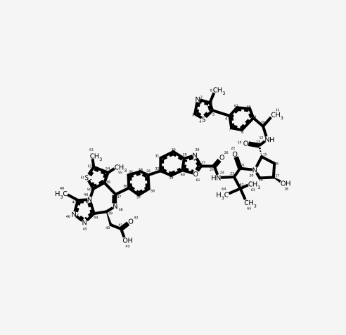 Cc1ncsc1-c1ccc(C(C)NC(=O)[C@@H]2C[C@@H](O)CN2C(=O)C(NC(=O)c2nc3ccc(-c4ccc(C5=N[C@@H](CC(=O)O)c6nnc(C)n6-c6sc(C)c(C)c65)cc4)cc3o2)C(C)(C)C)cc1